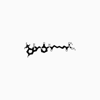 CN(C)C(=O)/C=C/CCCC(=O)Nc1cccn(Cc2cc3cc(F)cc(C(F)(F)F)c3[nH]2)c1=O